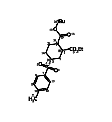 CCOC(=O)[C@H]1C[C@H](S(=O)(=O)c2ccc(C)cc2)CCN1C(=O)OC(C)(C)C